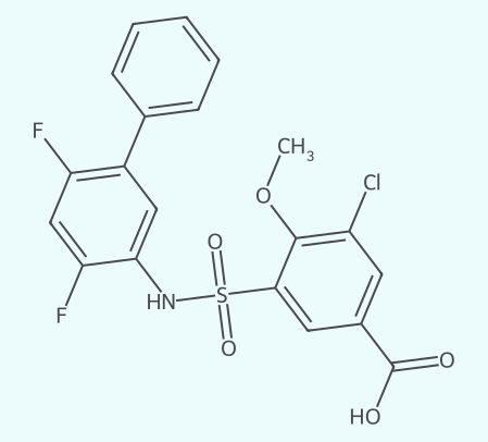 COc1c(Cl)cc(C(=O)O)cc1S(=O)(=O)Nc1cc(-c2ccccc2)c(F)cc1F